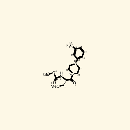 COC[C@H](NC(=O)OC(C)(C)C)C(=O)N1CCN(c2cccc(C(F)(F)F)c2)CC1